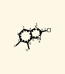 Cc1ccc2sc(Cl)nc2c1C